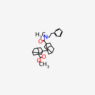 COC(=O)C12CC3CC(C1)CC(C14CC5CC(CC(C(=O)N(C)CCc6ccccc6)(C5)C1)C4)(C3)C2